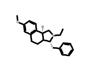 CCN1C[C@@H]2c3ccc(OC)cc3CCC2[C@H]1Cc1ccccc1